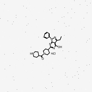 CCc1nn(-c2ccccc2)c2nc(C3CCN(C(=O)C4CCNCC4)CC3)nc(O)c12.Cl